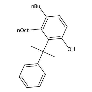 CCCCCCCCc1c(CCCC)ccc(O)c1C(C)(C)c1ccccc1